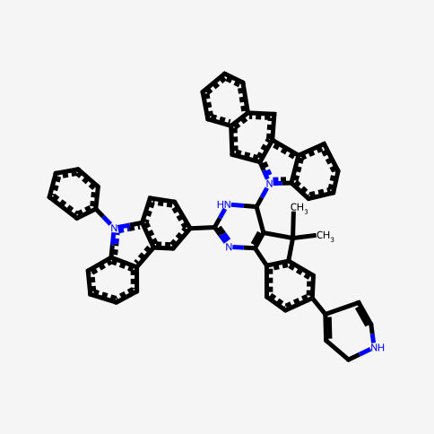 CC1(C)C2=C(N=C(c3ccc4c(c3)c3ccccc3n4-c3ccccc3)NC2n2c3ccccc3c3cc4ccccc4cc32)c2ccc(C3=CCNC=C3)cc21